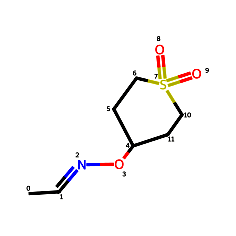 C/C=N/OC1CCS(=O)(=O)CC1